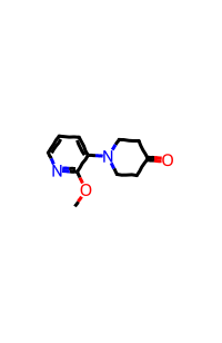 COc1ncccc1N1CCC(=O)CC1